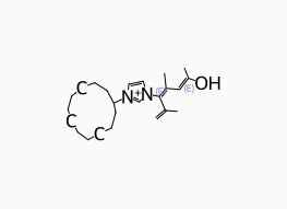 C=C(C)/C(=C(C)\C=C(/C)O)n1cc[n+](C2CCCCCCCCCCC2)c1